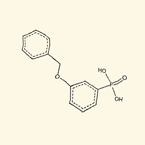 O=P(O)(O)c1cccc(OCc2ccccc2)c1